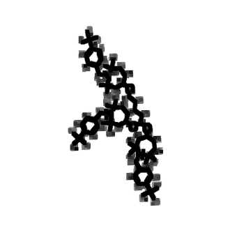 CC(C)(C)c1ccc(CN2C(C)(C)CCC(OCCCCC(OC3CCC(C)(C)N(Cc4ccc(C(C)(C)C)cc4)C(C)(C)C3)OC3CCC(C)(C)N(Cc4ccc(C(C)(C)C)cc4)C(C)(C)C3)CC2(C)C)cc1